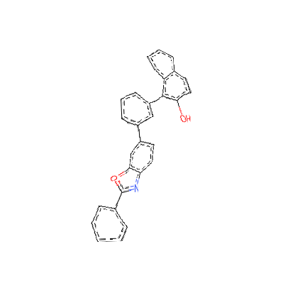 Oc1ccc2ccccc2c1-c1cccc(-c2ccc3nc(-c4ccccc4)oc3c2)c1